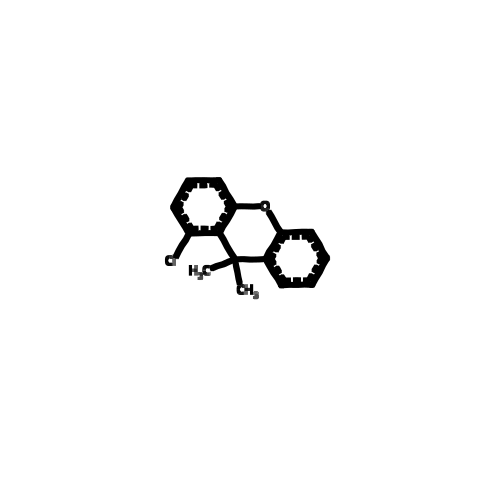 CC1(C)c2ccccc2Oc2cccc(Cl)c21